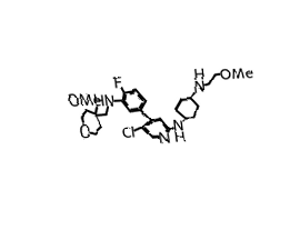 COCCN[C@H]1CC[C@H](Nc2cc(-c3ccc(F)c(NCC4(OC)CCOCC4)c3)c(Cl)cn2)CC1